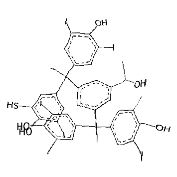 Cc1cc(C(C)(c2cc(C(C)O)cc(C(C)(c3cc(S)c(O)c(I)c3)c3cc(I)c(O)c(I)c3)c2)c2cc(C)c(O)c(I)c2)cc(I)c1O